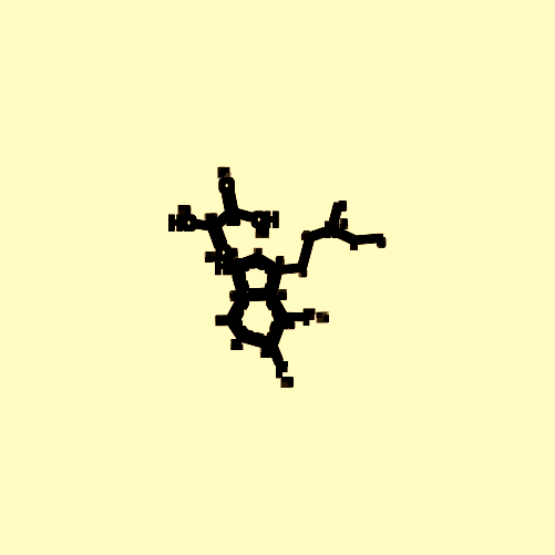 CCN(C)CCc1c[nH]c2ccc(F)c(F)c12.O=C(O)C(=O)O